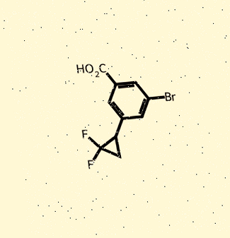 O=C(O)c1cc(Br)cc(C2CC2(F)F)c1